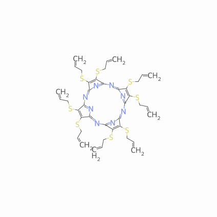 C=CCSC1=C(SCC=C)C2=NC3=NC(=NC4=NC(=NC5=NC(=NC1=N2)C(SCC=C)=C5SCC=C)C(SCC=C)=C4SCC=C)C(SCC=C)=C3SCC=C